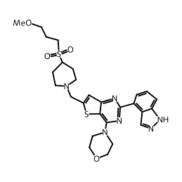 COCCCS(=O)(=O)C1CCN(Cc2cc3nc(-c4cccc5[nH]ncc45)nc(N4CCOCC4)c3s2)CC1